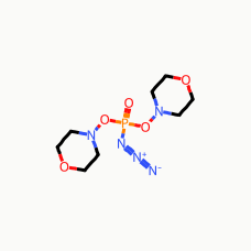 [N-]=[N+]=NP(=O)(ON1CCOCC1)ON1CCOCC1